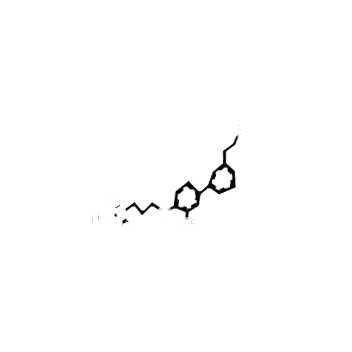 CS(=O)(=O)CCCOc1ccc(-c2cccc(CCBr)c2)cc1C(F)(F)F